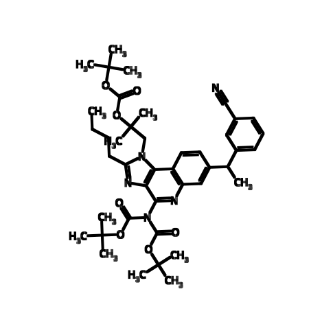 CCCCc1nc2c(N(C(=O)OC(C)(C)C)C(=O)OC(C)(C)C)nc3cc(C(C)c4cccc(C#N)c4)ccc3c2n1CC(C)(C)OC(=O)OC(C)(C)C